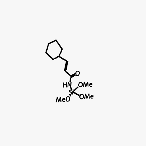 CO[Si](NC(=O)C=CC1CCCCC1)(OC)OC